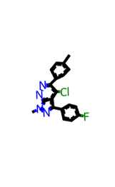 Cc1ccc(-c2nnc3c(c(-c4ccc(F)cc4)nn3C)c2Cl)cc1